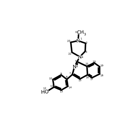 CN1CCN(c2nc(-c3ccc(O)cc3)cc3ccccc23)CC1